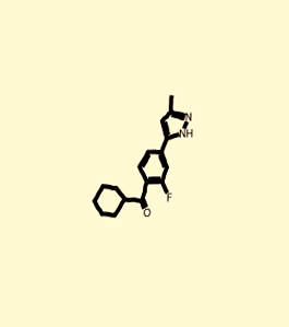 Cc1cc(-c2ccc(C(=O)C3CCCCC3)c(F)c2)[nH]n1